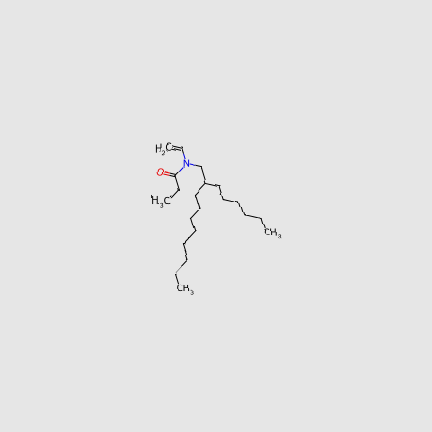 C=CN(CC(CCCCCC)CCCCCCCC)C(=O)CC